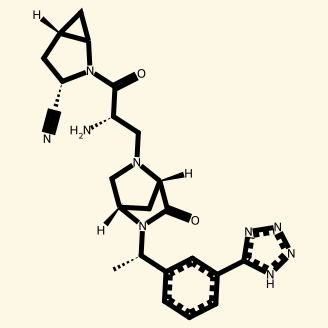 C[C@@H](c1cccc(-c2nnn[nH]2)c1)N1C(=O)[C@@H]2C[C@H]1CN2C[C@H](N)C(=O)N1C2C[C@H]2C[C@H]1C#N